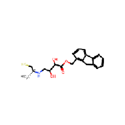 O=C(OCc1cccc2c1Cc1ccccc1-2)C(O)C(O)CN[C@@H](CS)C(=O)O